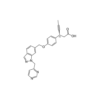 CC#C[C@@H](CC(=O)O)c1ccc(OCc2ccc3cnn(Cc4ccncn4)c3c2)cc1